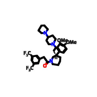 COc1ccc([C@@]2(CCN3CCC(N4CCCCC4)CC3)CCCCN(C(=O)Cc3cc(C(F)(F)F)cc(C(F)(F)F)c3)C2)cc1OC